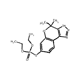 CCOP(=O)(OCC)Oc1ccc2c(c1)OC(C)(C)c1[se]nnc1-2